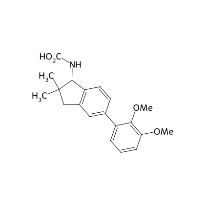 COc1cccc(-c2ccc3c(c2)CC(C)(C)C3NC(=O)O)c1OC